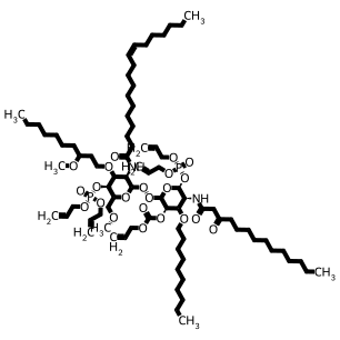 C=CCOC(=O)O[C@@H]1C(OOC2OC(COC)[C@@H](OP(=O)(OCC=C)OCC=C)C(OCCC(CCCCCCC)OC)[C@H]2NC(=O)CCCCCCCCC/C=C\CCCCCC)O[C@H](OP(=O)(OCC=C)OCC=C)[C@H](NC(=O)CC(=O)CCCCCCCCCCC)C1OCCCCCCCCCC